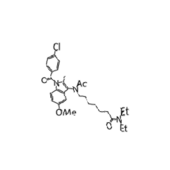 CCN(CC)C(=O)CCCCCCN(C(C)=O)c1c(C)n(C(=O)c2ccc(Cl)cc2)c2ccc(OC)cc12